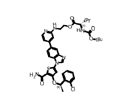 CC(C)[C@H](NC(=O)OC(C)(C)C)C(=O)OCCNc1cc(-c2ccc3c(c2)ncn3-c2cc(O[C@H](C)c3ccccc3Cl)c(C(N)=O)s2)ccn1